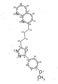 COc1ccc(-c2nnc(CCCCc3ccc4cccnc4n3)o2)cc1